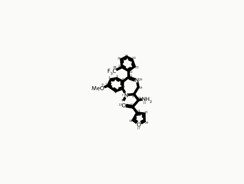 COc1ccc2c(c1)N(C)C(C(N)C(=O)c1ccoc1)CN=C2c1ccccc1C(F)(F)F